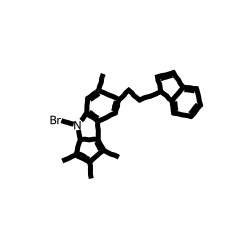 CC1=C(C)C2C(=C1C)c1cc(CCC3C=Cc4ccccc43)c(C)cc1N2Br